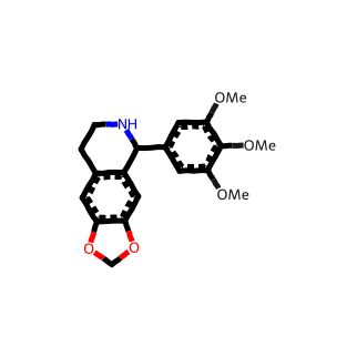 COc1cc(C2NCCc3cc4c(cc32)OCO4)cc(OC)c1OC